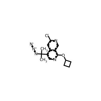 CC(C)(N=[N+]=[N-])c1cnc(OC2CCC2)c2cnc(Cl)cc12